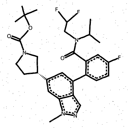 CC(C)N(CC(F)F)C(=O)c1cc(F)ccc1-c1cc([C@@H]2CCN(C(=O)OC(C)(C)C)C2)cc2c1cnn2C